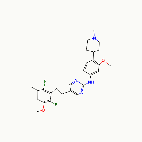 COc1cc(Nc2ncc(CCc3c(F)c(C)cc(OC)c3F)cn2)ccc1C1CCN(C)CC1